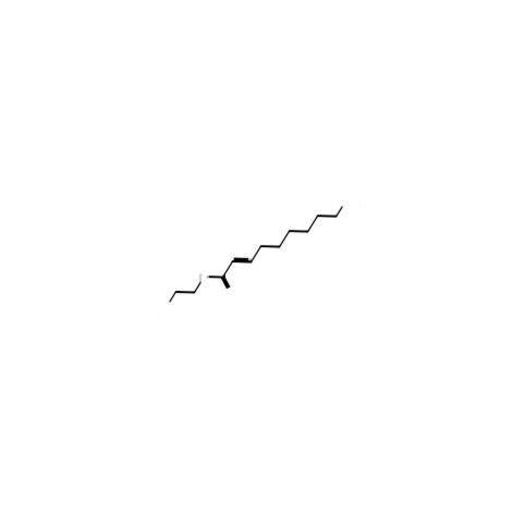 CCCCCCCC=CC(=O)NCCC